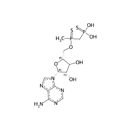 CP(=S)(CP(O)(O)=S)OC[C@H]1O[C@@H](n2cnc3c(N)ncnc32)[C@@H](O)C1O